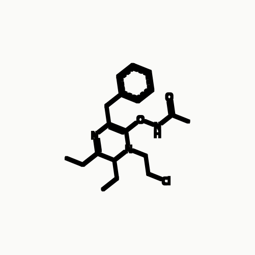 CCC1=NC(Cc2ccccc2)=C(ONC(C)=O)N(CCCl)C1CC